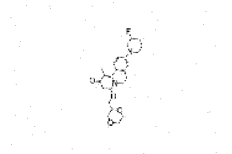 Cc1c2n(c(OCC3COCCO3)cc1=O)CCc1cc(N3CCCC(F)C3)ccc1-2